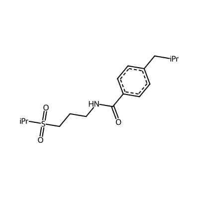 CC(C)Cc1ccc(C(=O)NCCCS(=O)(=O)C(C)C)cc1